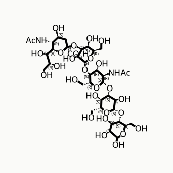 CC(=O)N[C@H]1[C@H](O[C@H]2[C@@H](O)[C@@H](CO)O[C@@H](O[C@H]3[C@H](O)[C@@H](O)C(O)O[C@@H]3CO)[C@@H]2O)O[C@H](CO)[C@@H](O[C@@H]2O[C@H](CO)[C@H](O)[C@H](O[C@]3(C(=O)O)C[C@H](O)[C@@H](NC(C)=O)[C@H]([C@H](O)[C@H](O)CO)O3)[C@H]2O)[C@@H]1O